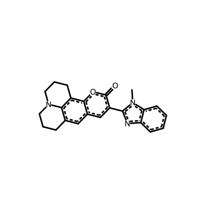 Cn1c(-c2cc3cc4c5c(c3oc2=O)CCCN5CCC4)nc2ccccc21